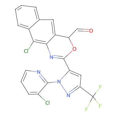 O=CC1OC(c2cc(C(F)(F)F)nn2-c2ncccc2Cl)=Nc2c1cc1ccccc1c2Cl